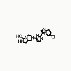 OC1NCC2CN(c3ccnc(-c4cnc5ccc(Cl)cn45)n3)CCN21